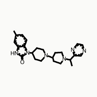 Cc1ccc2c(c1)[nH]c(=O)n2C1CCN(C2CCN(C(C)c3cnccn3)CC2)CC1